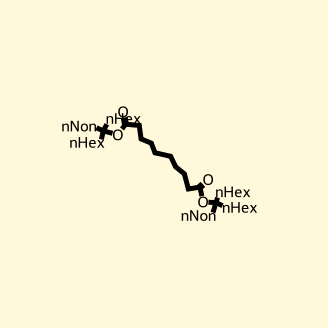 CCCCCCCCCC(CCCCCC)(CCCCCC)OC(=O)CCCCCCCCC(=O)OC(CCCCCC)(CCCCCC)CCCCCCCCC